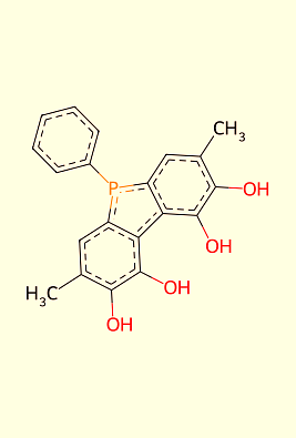 Cc1cc2c(c(O)c1O)c1c(O)c(O)c(C)cc1p2-c1ccccc1